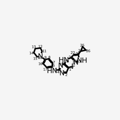 Fc1cnc(Nc2ccc(N3CCCCC3)cc2)nc1Nc1cc(C2CC2)[nH]n1